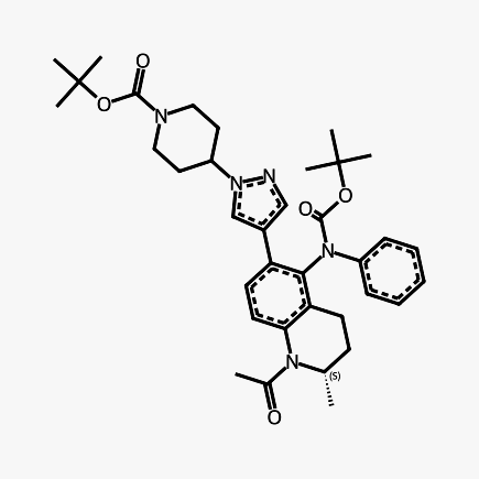 CC(=O)N1c2ccc(-c3cnn(C4CCN(C(=O)OC(C)(C)C)CC4)c3)c(N(C(=O)OC(C)(C)C)c3ccccc3)c2CC[C@@H]1C